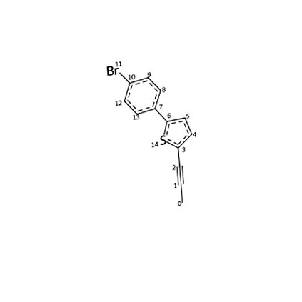 CC#Cc1ccc(-c2ccc(Br)cc2)s1